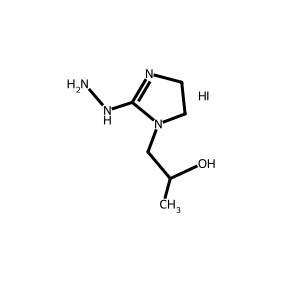 CC(O)CN1CCN=C1NN.I